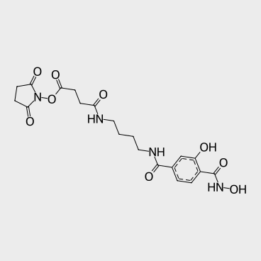 O=C(CCC(=O)ON1C(=O)CCC1=O)NCCCCNC(=O)c1ccc(C(=O)NO)c(O)c1